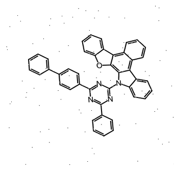 c1ccc(-c2ccc(-c3nc(-c4ccccc4)nc(-n4c5ccccc5c5c6ccccc6c6c7ccccc7oc6c54)n3)cc2)cc1